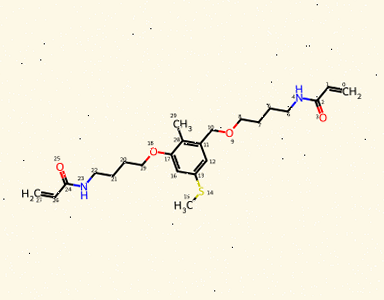 C=CC(=O)NCCCCOCc1cc(SC)cc(OCCCCNC(=O)C=C)c1C